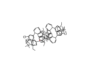 CCC1=CC2=C(C=CC=CC2c2cc(Cl)c([Si](C)(C)C)c(CC)c2)[C]12[SiH](C)[C]1(C(CC)=CC3=C1C=CC=CC3c1cc(Cl)c([Si](C)(C)C)c(CC)c1)[Hf]21([Cl])([Cl])[C]2(C(CC)=CC3=C2C=CC=CC3c2cc(Cl)c([Si](C)(C)C)c(CC)c2)[SiH](C)[C]12C(CC)=CC1=C2C=CC=CC1c1cc(Cl)c([Si](C)(C)C)c(CC)c1